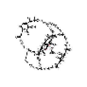 CCCCOn1c2ccc(c1=O)C(=O)NCCN1CCNC(=O)c3ccc(c(=O)n3O)C(=O)NCCN(CCNC2=O)CCOCCN2CCNC(=O)c3ccc(n(O)c3=O)C(=O)NCCN(CCNC(=O)c3ccc(n(O)c3=O)C(=O)NCC2)CCOCC1